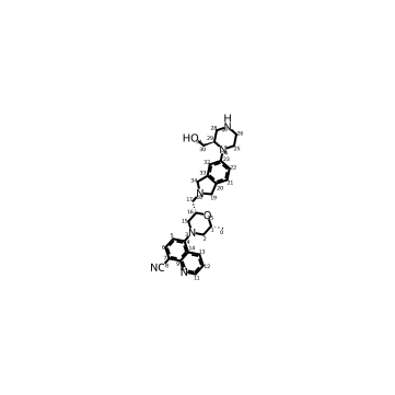 C[C@@H]1CN(c2ccc(C#N)c3ncccc23)C[C@H](CN2Cc3ccc(N4CCNC[C@@H]4CO)cc3C2)O1